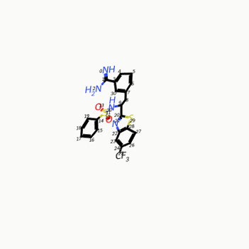 N=C(N)c1cccc(CC(NS(=O)(=O)c2ccccc2)c2nc3cc(C(F)(F)F)ccc3s2)c1